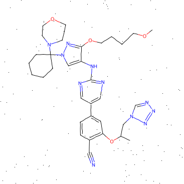 COCCCCOc1nn(C2(N3CCOCC3)CCCCC2)cc1Nc1ncc(-c2ccc(C#N)c(OC(C)Cn3cnnn3)c2)cn1